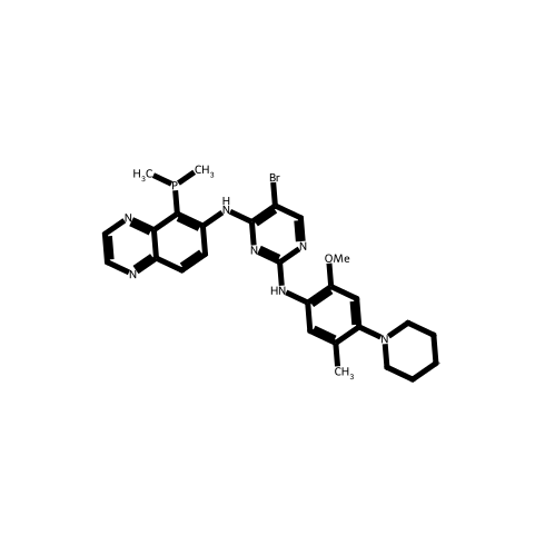 COc1cc(N2CC[CH]CC2)c(C)cc1Nc1ncc(Br)c(Nc2ccc3nccnc3c2P(C)C)n1